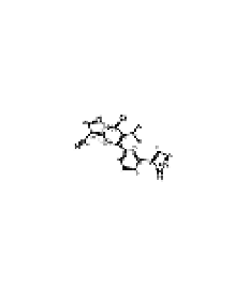 CC(C)c1c(-c2cccc(-c3ccn[nH]3)c2)[nH]c2c(C#N)cnn2c1=O